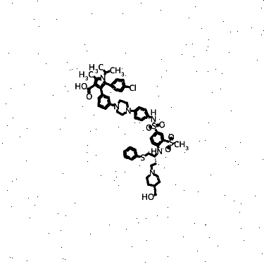 Cc1c(C(=O)O)c(-c2cccc(N3CCN(c4ccc(NS(=O)(=O)c5ccc(N[C@H](CCN6CCC(CO)CC6)CSc6ccccc6)c(S(C)(=O)=O)c5)cc4)CC3)c2)c(-c2ccc(Cl)cc2)n1C(C)C